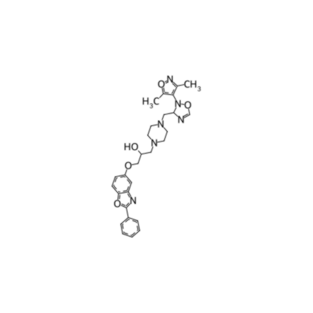 Cc1noc(C)c1N1OC=NC1CN1CCN(CC(O)COc2ccc3oc(-c4ccccc4)nc3c2)CC1